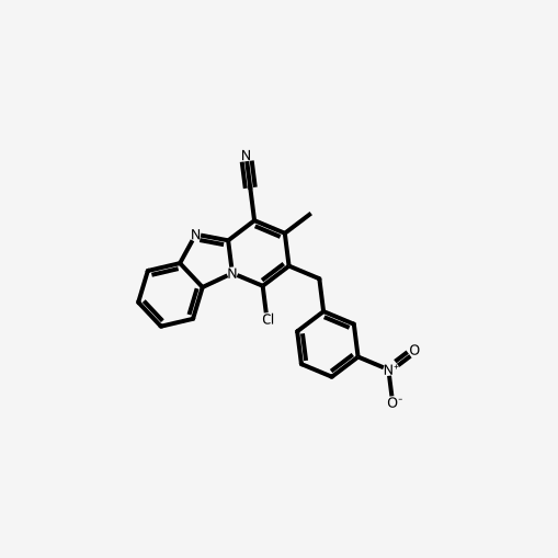 Cc1c(Cc2cccc([N+](=O)[O-])c2)c(Cl)n2c(nc3ccccc32)c1C#N